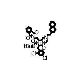 CC(C)(C)OC(=O)NC(Cc1ccc(Cl)cc1Cl)C(=O)N1CCN(CCc2ccc3ccccc3c2)CC1CCCN1C(=O)c2ccccc2C1=O